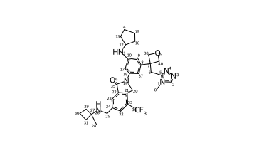 Cn1cnnc1CC1(c2cc(NC3CCCC3)cc(N3Cc4c(cc(CNC5(C)CCC5)cc4C(F)(F)F)C3=O)c2)COC1